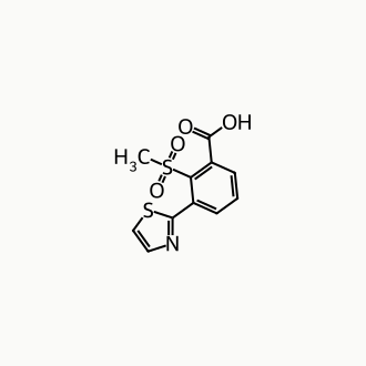 CS(=O)(=O)c1c(C(=O)O)cccc1-c1nccs1